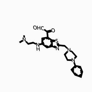 CN(C)CCNc1cc(C(=O)C=O)c2sc(CN3CCN(c4ccccc4)CC3)nc2c1